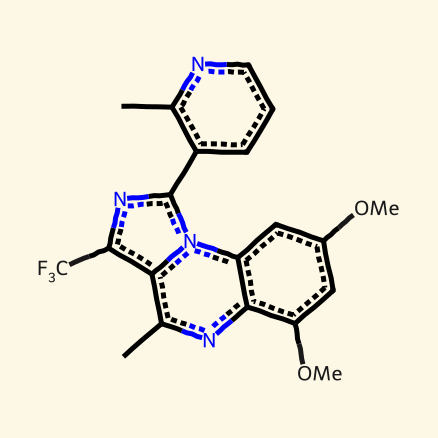 COc1cc(OC)c2nc(C)c3c(C(F)(F)F)nc(-c4cccnc4C)n3c2c1